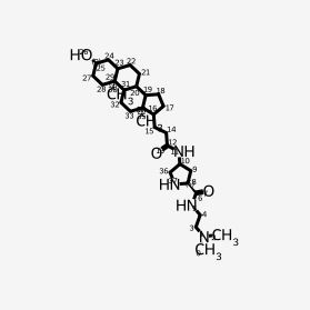 CN(C)CCNC(=O)[C@@H]1CC(NC(=O)CCC2CCC3C4CCC5C[C@H](O)CC[C@]5(C)C4CC[C@]23C)CN1